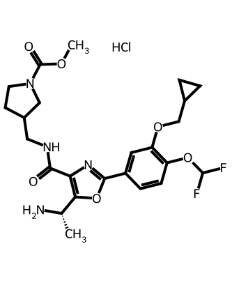 COC(=O)N1CCC(CNC(=O)c2nc(-c3ccc(OC(F)F)c(OCC4CC4)c3)oc2[C@H](C)N)C1.Cl